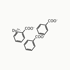 O=C([O-])c1ccccc1.O=C([O-])c1ccccc1.O=C([O-])c1ccccc1.[Dy+3]